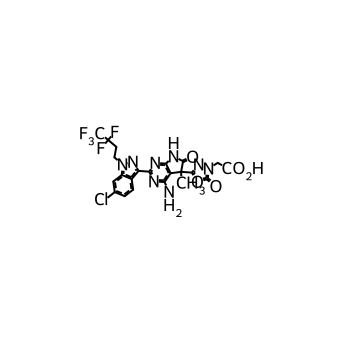 CC1(c2nn(CC(=O)O)c(=O)o2)C(=O)Nc2nc(-c3nn(CCC(F)(F)C(F)(F)F)c4cc(Cl)ccc34)nc(N)c21